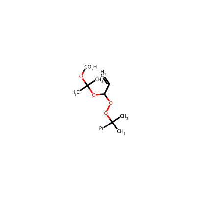 C=CC(OOC(C)(C)C(C)C)OC(C)(C)OC(=O)O